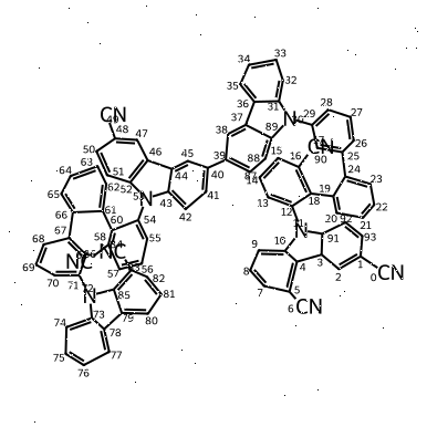 N#CC1=CC2c3c(C#N)cccc3N(c3cccc(C#N)c3-c3ccccc3-c3cccc(-n4c5ccccc5c5cc(-c6ccc7c(c6)c6cc(C#N)ccc6n7-c6cccc(C#N)c6-c6ccccc6-c6cccc(-n7c8ccccc8c8cccc(C#N)c87)c6)ccc54)c3)C2C=C1